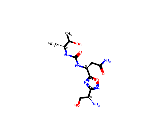 CC(O)[C@H](NC(=O)N[C@@H](CC(N)=O)c1nc([C@H](N)CO)no1)C(=O)O